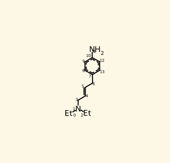 CCN(CC)CC=CCc1ccc(N)cc1